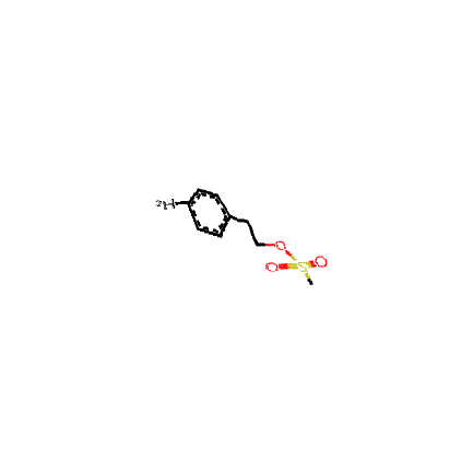 [2H]c1ccc(CCOS(C)(=O)=O)cc1